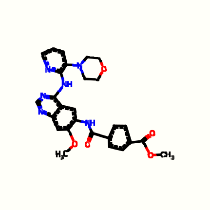 COC(=O)c1ccc(C(=O)Nc2cc3c(Nc4ncccc4N4CCOCC4)ncnc3cc2OC)cc1